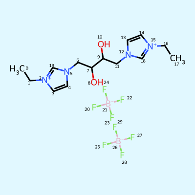 CC[n+]1ccn(CC(O)C(O)Cn2cc[n+](CC)c2)c1.F[B-](F)(F)F.F[B-](F)(F)F